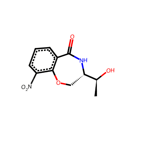 C[C@H](O)[C@@H]1COc2c(cccc2[N+](=O)[O-])C(=O)N1